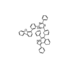 C1=CC(c2c3c(c4c(-c5ccccc5)cnn4c2-c2ccccc2)CCC=C3)CC(C2=NC(c3ccccc3)=NC(c3cccc(-c4cccc5c4oc4ccccc45)c3)N2)=C1